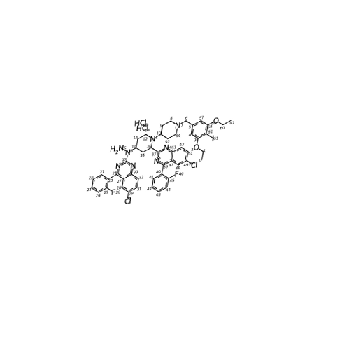 CCOc1cc(CN2CCC(N3CCC(N(N)c4nc(-c5ccccc5F)c5cc(Cl)ccc5n4)CC3c3nc(-c4ccccc4F)c4cc(Cl)ccc4n3)CC2)cc(OCC)c1I.Cl.Cl